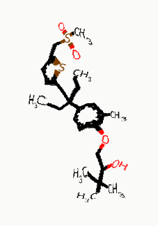 CCC(CC)(c1ccc(OCC(O)C(C)(C)C)c(C)c1)c1ccc(CS(C)(=O)=O)s1